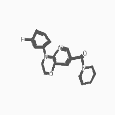 O=C(c1cnc2c(c1)OCCN2c1cccc(F)c1)N1CCCCC1